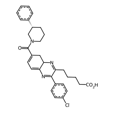 O=C(O)CCCCC1=NC2CC(C(=O)N3CCC[C@@H](c4ccccc4)C3)=CC=C2N=C1c1ccc(Cl)cc1